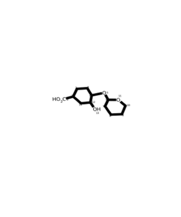 O=C(O)C1CCC(OC2CCCCO2)C(O)C1